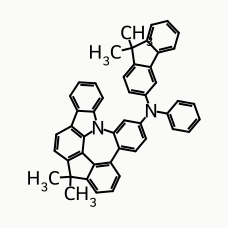 CC1(C)c2ccccc2-c2cc(N(c3ccccc3)c3ccc4c(c3)-n3c5ccccc5c5ccc6c(c53)-c3c-4cccc3C6(C)C)ccc21